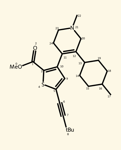 COC(=O)c1sc(C#CC(C)(C)C)cc1C1=C(C2CCC(C)CC2)CN(C)CC1